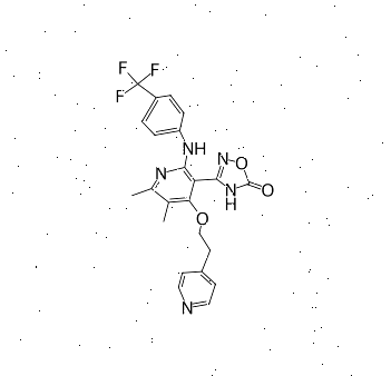 Cc1nc(Nc2ccc(C(F)(F)F)cc2)c(-c2noc(=O)[nH]2)c(OCCc2ccncc2)c1C